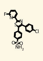 NS(=O)(=O)c1ccc(-c2sc(-c3cccc(F)n3)nc2-c2ccc(Cl)cc2)cc1